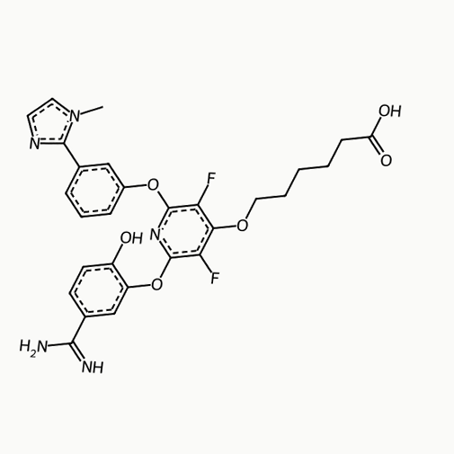 Cn1ccnc1-c1cccc(Oc2nc(Oc3cc(C(=N)N)ccc3O)c(F)c(OCCCCCC(=O)O)c2F)c1